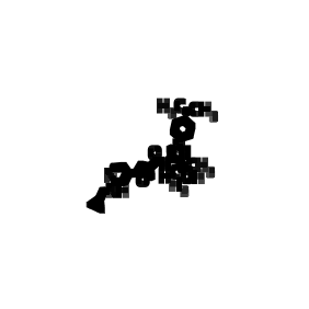 CC(C)[C@H]1CC[C@@H](n2cc(NC(=O)c3coc(-c4ccnc(NCC5CC5)c4)c3)c(C(C)(C)O)n2)CC1